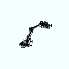 O=C1CCC(N2C(=O)c3cccc(OCCCCCCCn4cc(CCCCCCN5CCC(NC(=O)c6n[nH]cc6NC(=O)c6c(Cl)cccc6Cl)CC5)nn4)c3C2=O)C(=O)N1